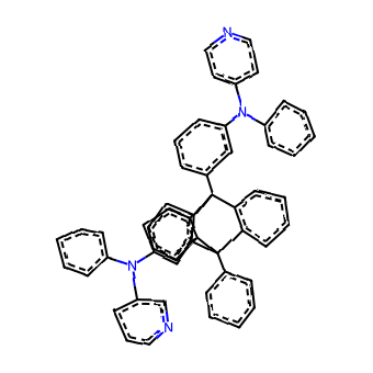 c1ccc(N(c2ccncc2)c2cccc(C34c5ccccc5C(c5ccccc5)(c5ccccc53)c3cc(N(c5ccccc5)c5cccnc5)ccc34)c2)cc1